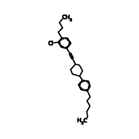 CCCCCCc1ccc(C2CCC(C#Cc3ccc(CCCC)c(Cl)c3)CC2)cc1